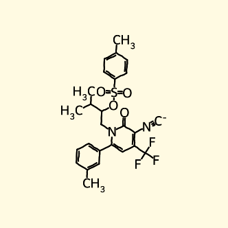 [C-]#[N+]c1c(C(F)(F)F)cc(-c2cccc(C)c2)n(CC(OS(=O)(=O)c2ccc(C)cc2)C(C)C)c1=O